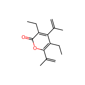 C=C(C)c1oc(=O)c(CC)c(C(=C)C)c1CC